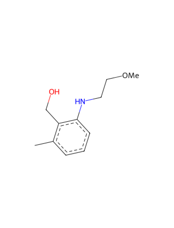 COCCNc1cccc(C)c1CO